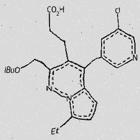 CCc1ccc2c(-c3cncc(Cl)c3)c(CCC(=O)O)c(COCC(C)C)nn12